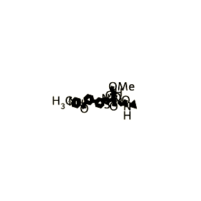 COCCS(=O)(=O)C(C(=O)NCC(=O)NC1CC1)c1nc2cc(-c3cccc(C(=O)N4CCN(C)CC4)c3)ccc2s1